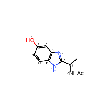 CC(=O)NC(C)c1nc2cc(O)ccc2[nH]1